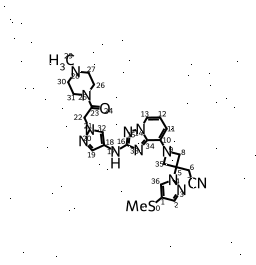 CSc1cnn(C2(CC#N)CN(c3cccn4nc(Nc5cnn(CC(=O)N6CCN(C)CC6)c5)nc34)C2)c1